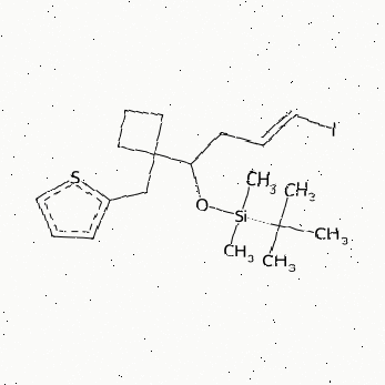 CC(C)(C)[Si](C)(C)OC(C/C=C/I)C1(Cc2cccs2)CCC1